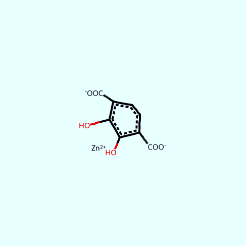 O=C([O-])c1ccc(C(=O)[O-])c(O)c1O.[Zn+2]